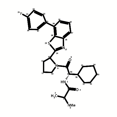 CNC(C)C(=O)N[C@H](C(=O)N1CCCC1c1nc2cccc(-c3ccc(F)cc3)c2s1)C1CCCCC1